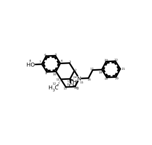 C[C@H]1C2Cc3ccc(O)cc3[C@]1(C)CCN2CCc1ccccc1